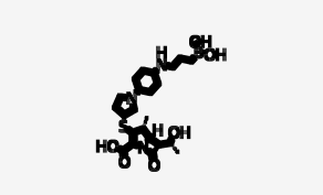 C[C@@H](O)[C@H]1C(=O)N2C(C(=O)O)=C(S[C@@H]3CCN(C4CCC(NCCCB(O)O)CC4)C3)[C@H](C)[C@H]12